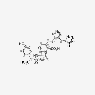 CO[C@@]1(NC(=O)C(C(=O)O)c2ccc(O)cc2)C(=O)N2C(C(=O)O)=C(CSc3nnnn3Cc3nnn[nH]3)COC21